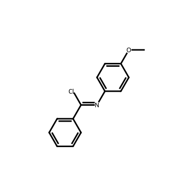 COc1ccc(/N=C(\Cl)c2ccccc2)cc1